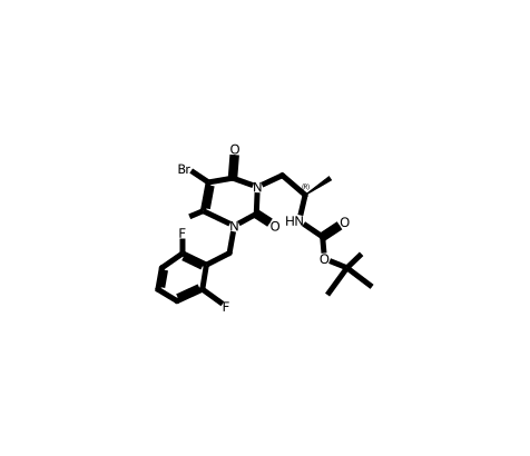 Cc1c(Br)c(=O)n(C[C@@H](C)NC(=O)OC(C)(C)C)c(=O)n1Cc1c(F)cccc1F